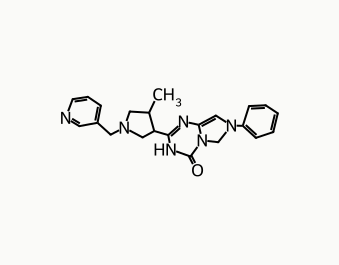 CC1CN(Cc2cccnc2)CC1C1=NC2=CN(c3ccccc3)CN2C(=O)N1